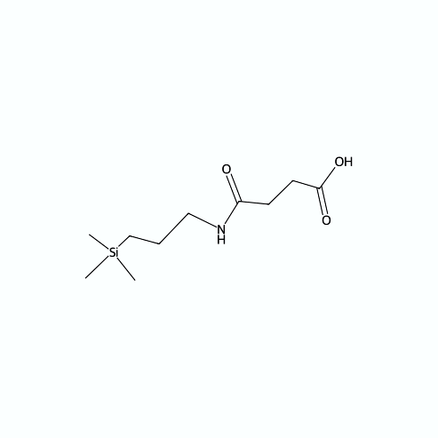 C[Si](C)(C)CCCNC(=O)CCC(=O)O